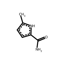 Cc1ccc(C(N)=O)[nH]1